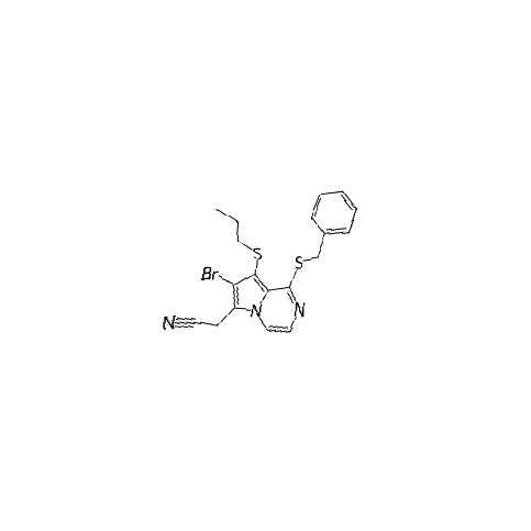 CCCSc1c(Br)c(CC#N)n2ccnc(SCc3ccccc3)c12